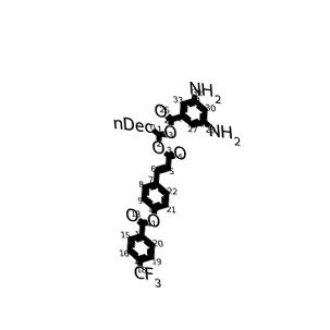 CCCCCCCCCCC(OC(=O)C=Cc1ccc(OC(=O)c2ccc(C(F)(F)F)cc2)cc1)OC(=O)c1cc(N)cc(N)c1